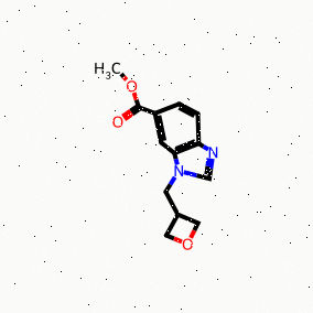 COC(=O)c1ccc2ncn(CC3COC3)c2c1